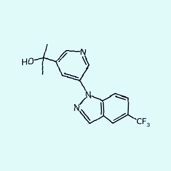 CC(C)(O)c1cncc(-n2ncc3cc(C(F)(F)F)ccc32)c1